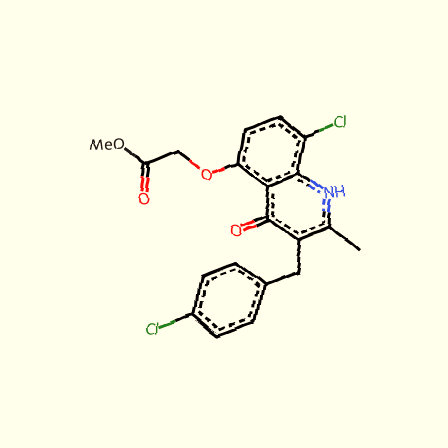 COC(=O)COc1ccc(Cl)c2[nH]c(C)c(Cc3ccc(Cl)cc3)c(=O)c12